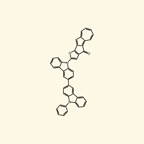 O=C1c2cc(-n3c4ccccc4c4cc(-c5ccc6c(c5)c5ccccc5n6-c5ccccc5)ccc43)oc2-c2cc3cccccc-3c21